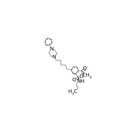 CCCNS(=O)(=O)c1cc(CCCCCN2CCN(c3ccccc3)CC2)ccc1[S+](C)[O-]